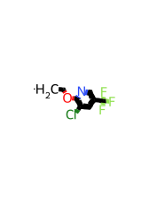 [CH2]COc1ncc(C(F)(F)F)cc1Cl